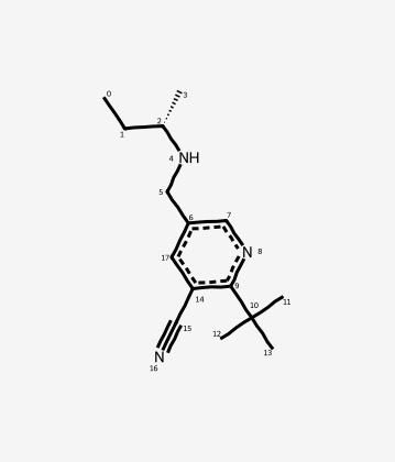 CC[C@H](C)NCc1cnc(C(C)(C)C)c(C#N)c1